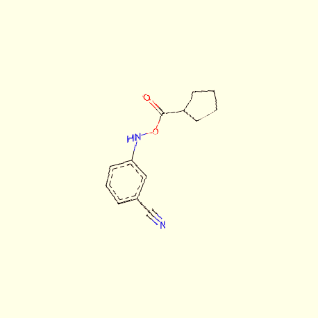 N#Cc1cccc(NOC(=O)C2CCCC2)c1